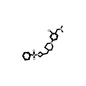 CN(C)Cc1ccc(N2CCC(CC3CN(S(=O)(=O)c4ccccc4)C3)CC2)cc1Cl